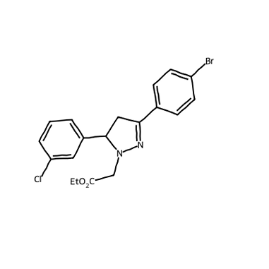 CCOC(=O)CN1N=C(c2ccc(Br)cc2)CC1c1cccc(Cl)c1